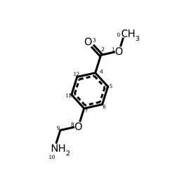 COC(=O)c1ccc(OCN)cc1